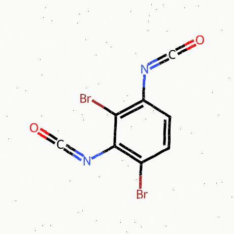 O=C=Nc1ccc(Br)c(N=C=O)c1Br